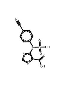 N#Cc1ccc(N(c2scnc2C(=O)O)S(=O)(=O)O)cc1